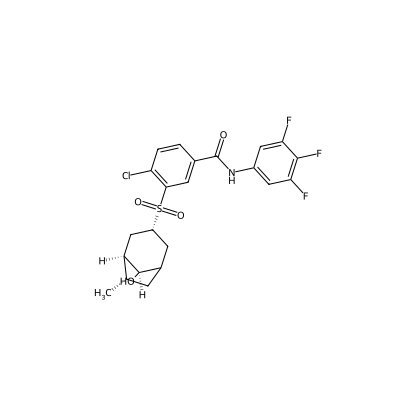 C[C@H]1CC2C[C@@H](S(=O)(=O)c3cc(C(=O)Nc4cc(F)c(F)c(F)c4)ccc3Cl)C[C@H]1[C@@H]2O